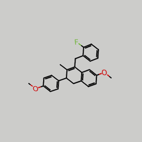 COc1ccc(C2Cc3ccc(OC)cc3C(Cc3ccccc3F)=C2C)cc1